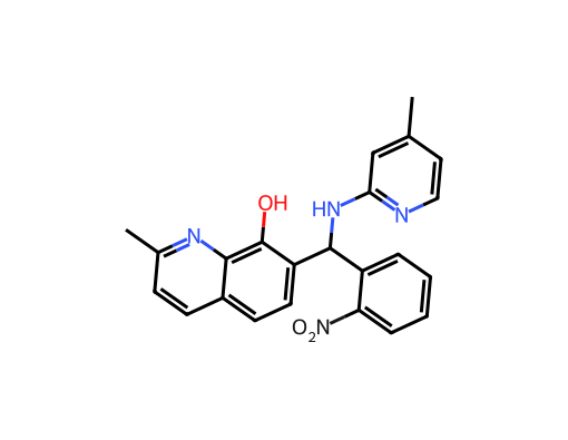 Cc1ccnc(NC(c2ccccc2[N+](=O)[O-])c2ccc3ccc(C)nc3c2O)c1